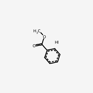 COC(=O)c1ccccc1.I